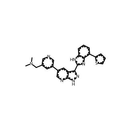 CN(C)Cc1cncc(-c2cnc3[nH]nc(-c4nc5c(-c6cccs6)cccc5[nH]4)c3c2)c1